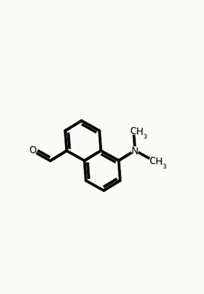 CN(C)c1cccc2c(C=O)cccc12